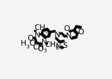 CCN1C(=O)C(C)(C)C(=O)N(C)c2cc(CN(CCn3ccc4occc4c3=O)Cc3cscn3)ccc21